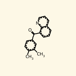 Cc1ccc(C(=O)c2cccc3cccnc23)cc1C